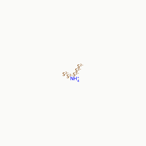 [NH4+].[S-2].[S-2].[S-2].[S-2].[S-2]